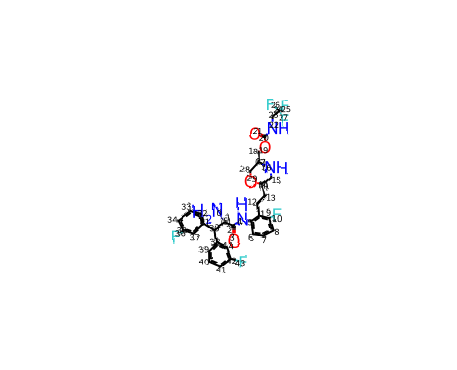 N[C@H](C(=O)Nc1cccc(F)c1CC[C@@H]1CN[C@H](COC(=O)NCC(F)(F)F)CO1)C(c1cccc(F)c1)c1cccc(F)c1